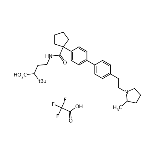 CC1CCCN1CCc1ccc(-c2ccc(C3(C(=O)NCCC(C(=O)O)C(C)(C)C)CCCC3)cc2)cc1.O=C(O)C(F)(F)F